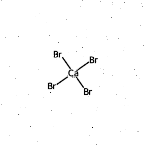 [Br][Ca]([Br])([Br])[Br]